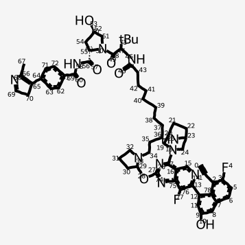 C#Cc1c(F)ccc2cc(O)cc(-c3ncc4c(N5CC6CCC(C5)N6)nc(OC5CCCN5CCCCCCCCCCC(=O)NC(C(=O)N5C[C@H](O)C[C@H]5C(=O)NC(=O)c5ccc(C6=C(C)N=CC6)cc5)C(C)(C)C)nc4c3F)c12